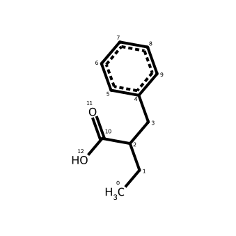 CCC(Cc1ccccc1)C(=O)O